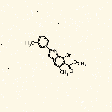 COC(=O)c1c(C)cn2cc(-c3cccc(C)c3)nc2c1Br